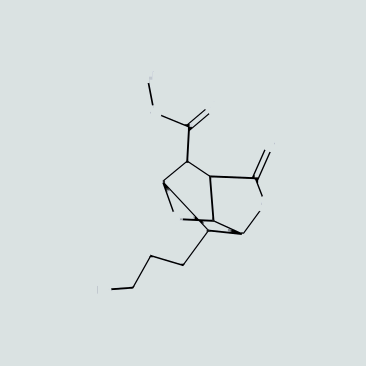 CCCOC(=O)C1C2OC3C(OC(=O)C31)C2CCCO